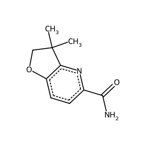 CC1(C)COc2ccc(C(N)=O)nc21